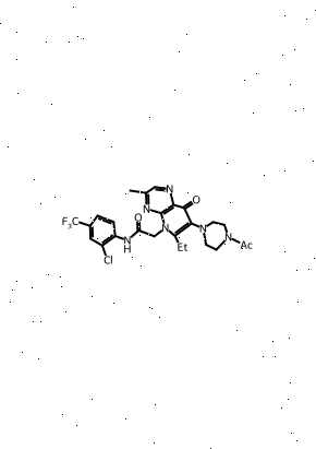 CCc1c(N2CCN(C(C)=O)CC2)c(=O)c2ncc(C)nc2n1CC(=O)Nc1ccc(C(F)(F)F)cc1Cl